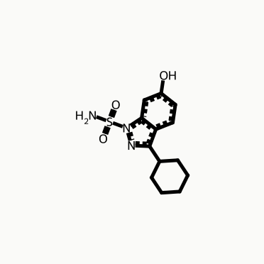 NS(=O)(=O)n1nc(C2CCCCC2)c2ccc(O)cc21